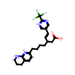 O=C(O)CC(/C=C/c1cnc(C(F)(F)F)nc1)CCCCc1ccc2c(n1)NCCC2